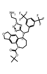 CC(C)(C)OC(=O)N1CCC[C@H](N(Cc2cc(C(F)(F)F)cc(C(F)(F)F)c2)c2nnn(CCN)n2)c2cc3c(cc21)COC3